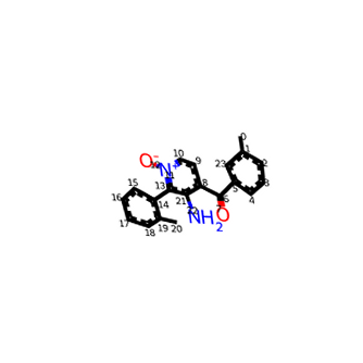 Cc1cccc(C(=O)c2cc[n+]([O-])c(-c3ccccc3C)c2N)c1